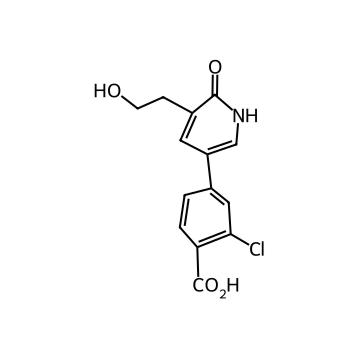 O=C(O)c1ccc(-c2c[nH]c(=O)c(CCO)c2)cc1Cl